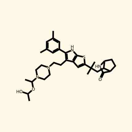 Cc1cc(C)cc(-c2[nH]c3sc(C(C)(C)CC4C5CCC4C(=O)N5)cc3c2CCN2CCN(C(C)OC(C)O)CC2)c1